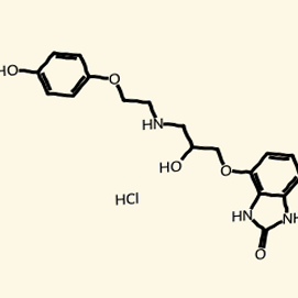 Cl.O=c1[nH]c2cccc(OCC(O)CNCCOc3ccc(O)cc3)c2[nH]1